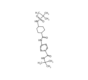 CC(C)(C)NC(=O)c1ccc(NC(=O)C2CCC(NS(=O)(=O)C(C)(C)C)CC2)cc1